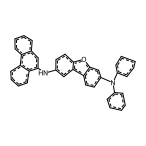 c1ccc(N(c2ccccc2)c2ccc3c(c2)oc2ccc(Nc4cc5ccccc5c5ccccc45)cc23)cc1